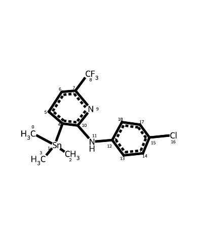 [CH3][Sn]([CH3])([CH3])[c]1ccc(C(F)(F)F)nc1Nc1ccc(Cl)cc1